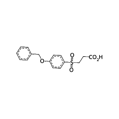 O=C(O)CCS(=O)(=O)c1ccc(OCc2ccccc2)cc1